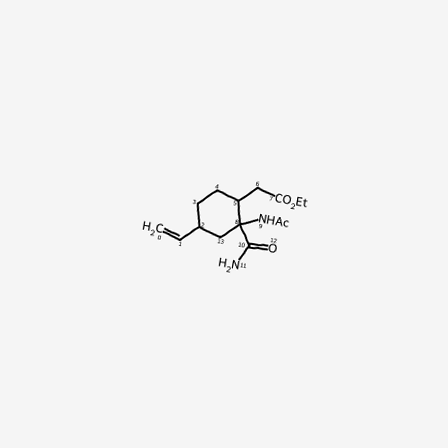 C=CC1CCC(CC(=O)OCC)C(NC(C)=O)(C(N)=O)C1